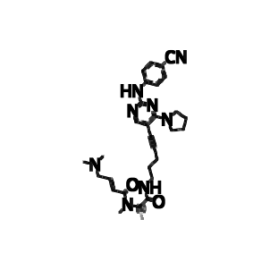 C[C@@H](C(=O)NCCCC#Cc1cnc(Nc2ccc(C#N)cc2)nc1N1CCCC1)N(C)C(=O)C=CCN(C)C